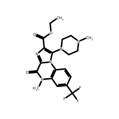 CCOC(=O)c1nc2c(=O)n(C)c3cc(C(F)(F)F)ccc3n2c1N1CCN(C)CC1